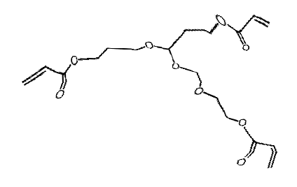 C=CC(=O)OCCCOC(CCOC(=O)C=C)OCOCCOC(=O)C=C